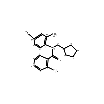 Cc1cnccc1C(=O)N(CC1CCCC1)c1ccc(F)cc1C